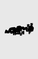 CC(=O)N1CC2CC(c3ccc(CCCOc4c(F)ccc(F)c4F)cc3)=C(C(=O)O)[C@@H](C1)N2